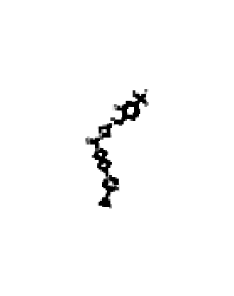 O=C(N1CC(OCc2ccc(C(F)(F)F)cc2F)C1)N1CC2(CC(n3cnc(C4CC4)c3)C2)C1